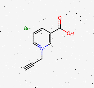 C#CC[n+]1cccc(C(=O)O)c1.[Br-]